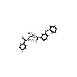 CC(C)(COC(=O)c1ccccc1)NC(=O)c1cccc(Oc2ccccc2)c1